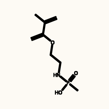 C=C(C)C(=C)OCCNP(C)(=O)O